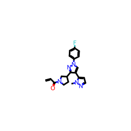 C=CC(=O)N1CCC(c2nn(-c3ccc(F)cc3)cc2-c2ccnn2C)C1